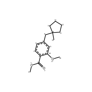 COC(=O)c1ccc(CC2(C)CCCC2)cc1OC